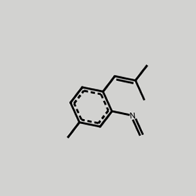 C=Nc1cc(C)ccc1C=C(C)C